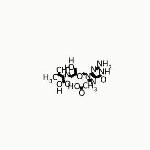 CC(=O)O.CC(C)[C@H](NCC(CO)OCn1cnc2c(=O)[nH]c(N)nc21)C(=O)O